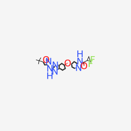 Cn1c(Nc2cc(C(C)(C)C)on2)nc2ccc(Oc3ccnc(NC(=O)C4CC4(F)F)c3)cc21